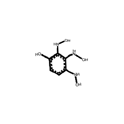 ONc1ccc(O)c(NO)c1NO